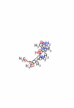 COCCCOc1cc(CC(CC(N)[C@@H](O)C[C@H](C(=O)NCC(C)(C)C(N)=O)C(C)C)C(C)C)ccc1OC